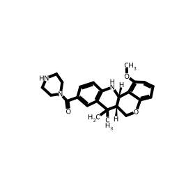 COc1cccc2c1[C@H]1Nc3ccc(C(=O)N4CCNCC4)cc3C(C)(C)[C@H]1CO2